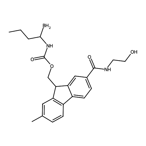 BC(CCC)NC(=O)OCC1c2cc(C)ccc2-c2ccc(C(=O)NCCO)cc21